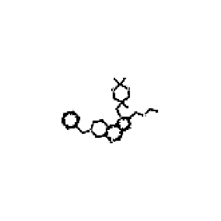 CCOCc1nc2cnc3c(c2n1CC1(C)COC(C)(C)OC1)CCN(Cc1ccccc1)C3